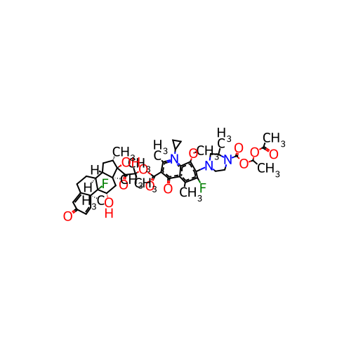 COc1c(N2CCN(C(=O)OC(C)OC(C)=O)C(C)C2)c(F)c(C)c2c(=O)c(C(=O)OC(C)(C)C(=O)[C@@]3(O)[C@@H](C)C[C@H]4[C@@H]5CCC6=CC(=O)C=C[C@]6(C)[C@@]5(F)[C@@H](O)C[C@@]43C)c(C)n(C3CC3)c12